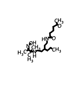 CCCC(CCNC(=O)CCCC(C)=O)CCNC(C)(C)/C(C)=N\O